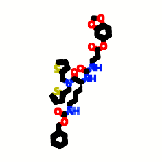 O=C(NCCC(=O)Oc1ccc2c(c1)OCO2)N[C@H](CCCCNC(=O)OCc1ccccc1)C(=O)N(Cc1cccs1)Cc1cccs1